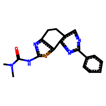 CN(C)C(=O)Nc1nc2c(s1)-c1nc(-c3ccccc3)ncc1CC2